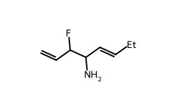 C=CC(F)C(N)C=CCC